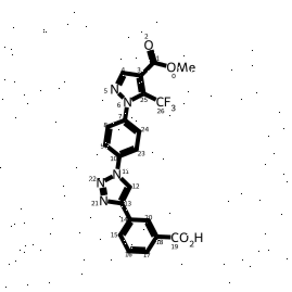 COC(=O)c1cnn(-c2ccc(-n3cc(-c4cccc(C(=O)O)c4)nn3)cc2)c1C(F)(F)F